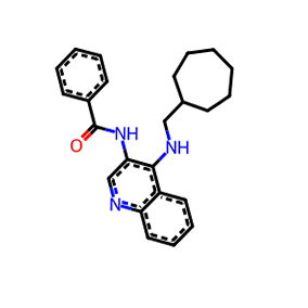 O=C(Nc1cnc2ccccc2c1NCC1CCCCCC1)c1ccccc1